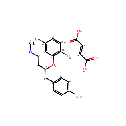 CNCC[C@H](Cc1ccc(C)cc1)Oc1cc(Cl)ccc1Cl.O=C(O)/C=C/C(=O)O